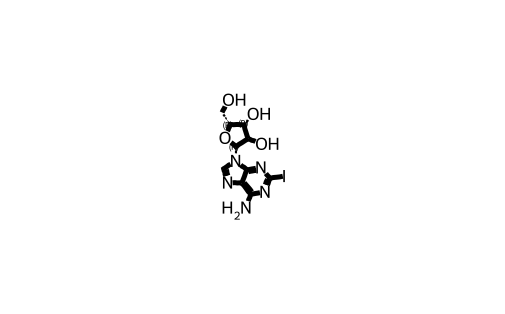 Nc1nc(I)nc2c1ncn2[C@@H]1O[C@H](CO)[C@H](O)C1O